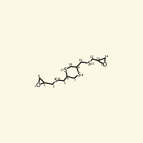 C1OC1CSCC1CSC(CSCC2CO2)CS1